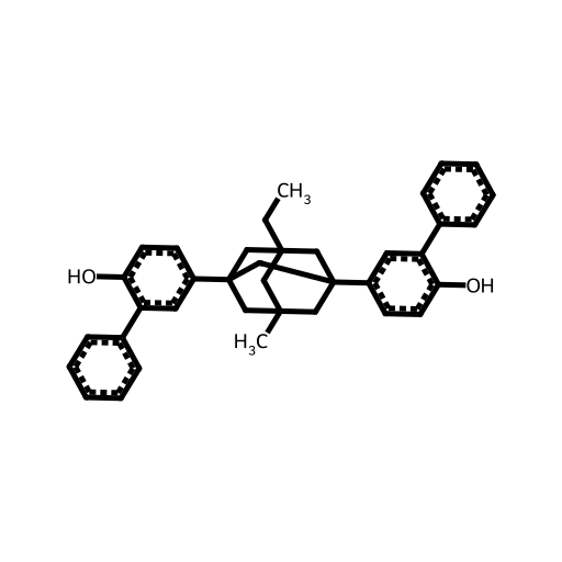 CCC12CC3(C)CC(c4ccc(O)c(-c5ccccc5)c4)(C1)CC(c1ccc(O)c(-c4ccccc4)c1)(C3)C2